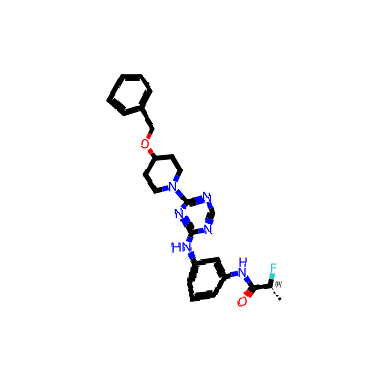 C[C@@H](F)C(=O)Nc1cccc(Nc2ncnc(N3CCC(OCc4ccccc4)CC3)n2)c1